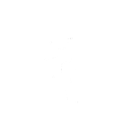 CC(Cl)CCC1Cc2cc(O)c(Cl)c(Cl)c2C1=O